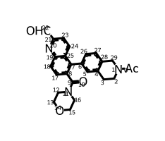 CC(=O)N1CCc2cc(-c3c(C(=O)N4CCOCC4)ccc4nc(C=O)ccc34)ccc2C1